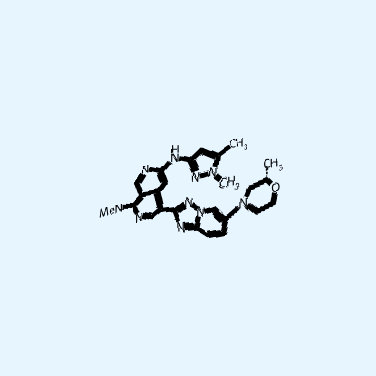 CNc1ncc(-c2nc3ccc(N4CCO[C@@H](C)C4)cn3n2)c2cc(Nc3cc(C)n(C)n3)ncc12